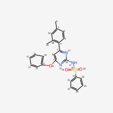 Cc1ccc(-c2cc(Oc3ccccc3)nc(NS(=O)(=O)c3ccccc3)n2)c(C)c1